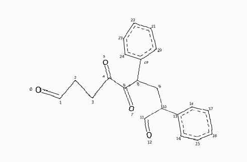 O=CCCC(=O)C(=O)C(CC(C=O)c1ccccc1)c1ccccc1